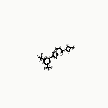 O=C(/C=C\n1cnc(-c2cc(C(F)(F)F)cc(C(F)(F)F)c2)n1)N1CC(F)C1